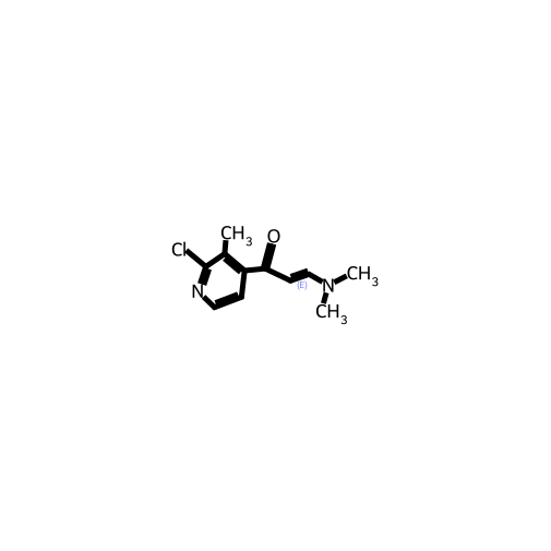 Cc1c(C(=O)/C=C/N(C)C)ccnc1Cl